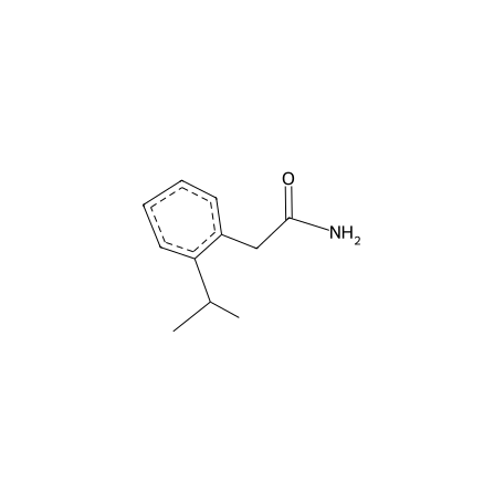 CC(C)c1ccccc1CC(N)=O